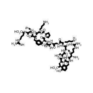 CC(C)C[C@H](NC(=O)[C@H](Cc1ccccc1)NC(=O)[C@H](CCCCN)NC(=O)[C@@H]1CCCN1C(=O)[C@H](CC(=O)O)NC(=O)[C@@H](NC(=O)CNC(=O)[C@H](CCCCN)NC(=O)[C@H](CC(C)C)NC(=O)[C@H](CO)NC(=O)[C@H](CCC(=O)O)NC(=O)[C@H](Cc1ccc(O)cc1)NC(=O)[C@@H](N)CCCNC(=N)N)C(C)C)C(=O)N[C@@H](CCCNC(=N)N)C(=O)O